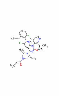 C=CC(=O)N1C[C@H](C)N(c2nc(=O)n(-c3c(C)ccnc3C(C)C)c3nc(-c4c(F)cccc4C=C)c(F)cc23)[C@@H](C)C1